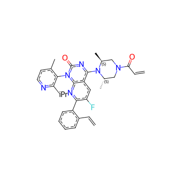 C=CC(=O)N1C[C@H](C)N(c2nc(=O)n(-c3c(C)ccnc3C(C)C)c3nc(-c4ccccc4C=C)c(F)cc23)[C@@H](C)C1